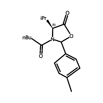 CCCCC(=O)N1C(c2ccc(C)cc2)OC(=O)[C@@H]1C(C)C